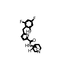 O=C(N[C@H]1CN2CCC1CC2)c1ccc(Cc2c(F)cc(F)cc2F)[nH]1